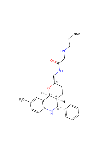 CNCCNCC(=O)NC[C@H]1CC[C@@H]2[C@H](O1)c1cc(C(F)(F)F)ccc1N[C@H]2c1ccccc1